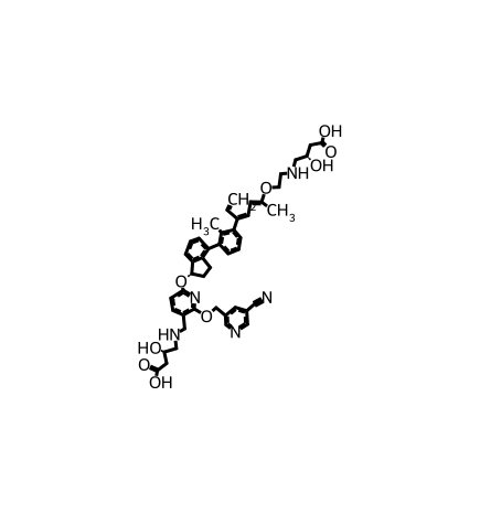 C=C/C(=C\C=C(/C)OCCNC[C@@H](O)CC(=O)O)c1cccc(-c2cccc3c2CC[C@@H]3Oc2ccc(CNC[C@@H](O)CC(=O)O)c(OCc3cncc(C#N)c3)n2)c1C